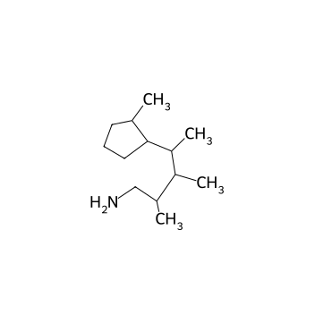 CC(CN)C(C)C(C)C1CCCC1C